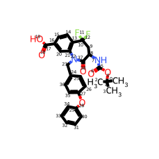 CC(C)(C)OC(=O)NC1CC(F)(F)c2ccc(C(=O)O)cc2N(Cc2ccc(Oc3ccccc3)cc2)C1=O